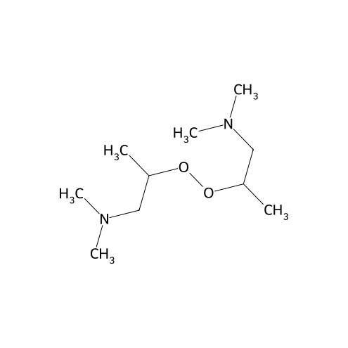 CC(CN(C)C)OOC(C)CN(C)C